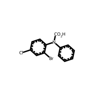 O=C(O)N(c1ccccc1)c1ccc(Cl)cc1Br